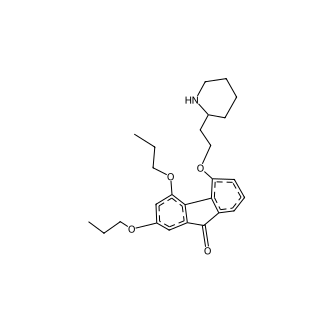 CCCOc1cc(OCCC)c2c(c1)C(=O)c1cccc(OCCC3CCCCN3)c1-2